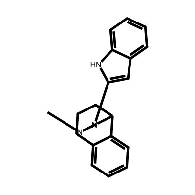 CN1CN(c2cc3ccccc3[nH]2)C2CCC1c1ccccc12